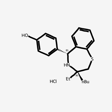 CCCC[C@]1(CC)CSc2ccccc2[C@@H](c2ccc(O)cc2)N1.Cl